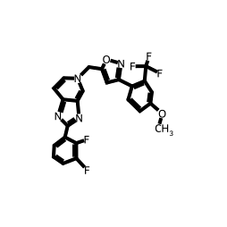 COc1ccc(-c2cc(Cn3ccc4nc(-c5cccc(F)c5F)nc-4c3)on2)c(C(F)(F)F)c1